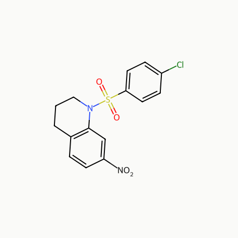 O=[N+]([O-])c1ccc2c(c1)N(S(=O)(=O)c1ccc(Cl)cc1)CCC2